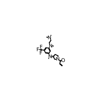 C=CC(=O)N1CC[C@H](N(C)c2cc(N(C)CCN(C)C)cc(C(F)(F)F)c2)C1